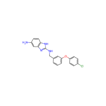 Nc1ccc2[nH]c(NCc3cccc(Oc4ccc(Cl)cc4)c3)nc2c1